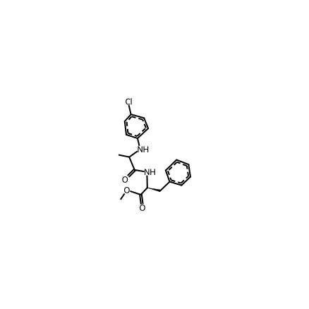 COC(=O)[C@H](Cc1ccccc1)NC(=O)C(C)Nc1ccc(Cl)cc1